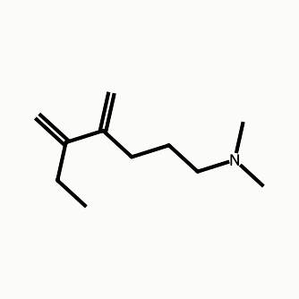 C=C(CC)C(=C)CCCN(C)C